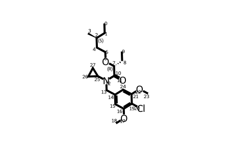 CC[C@H](C)CCO[C@H](CC)C(=O)N(Cc1cc(OC)c(Cl)c(OC)c1)C1CC1